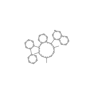 Cc1ccc(C)c(-c2cncc3ccccc23)c2ccccc2c(-c2ccccc2-c2ccccc2)c(C)c1